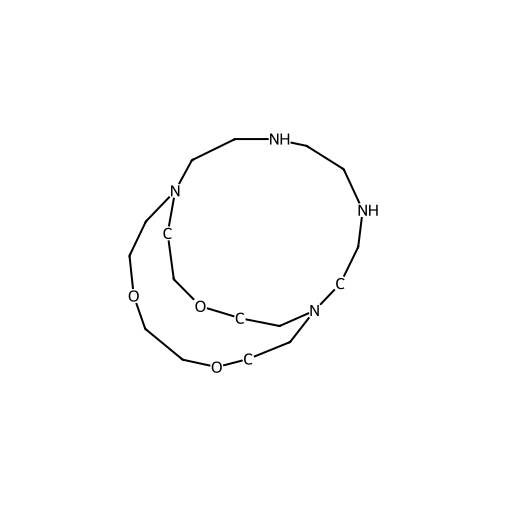 C1CNCCN2CCOCCOCCN(CCN1)CCOCC2